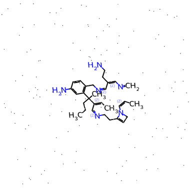 C=N/C=C(\C=N/Cc1ccc(N)cc1C(C)(CCC)C(/C=N\CCC1=CCN1/C=C\C)=C/C)CCN